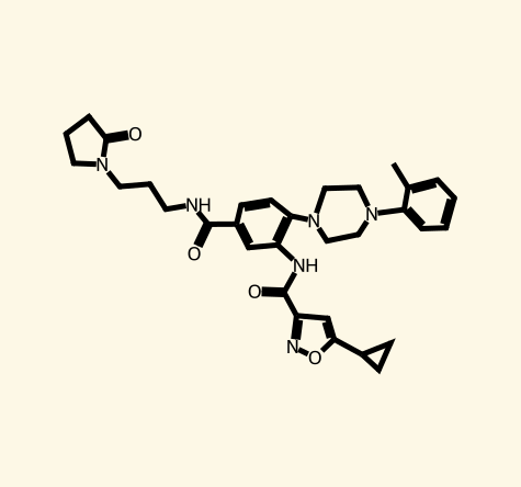 Cc1ccccc1N1CCN(c2ccc(C(=O)NCCCN3CCCC3=O)cc2NC(=O)c2cc(C3CC3)on2)CC1